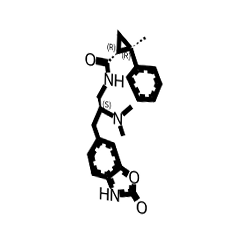 CN(C)[C@H](CNC(=O)[C@@H]1C[C@@]1(C)c1ccccc1)Cc1ccc2[nH]c(=O)oc2c1